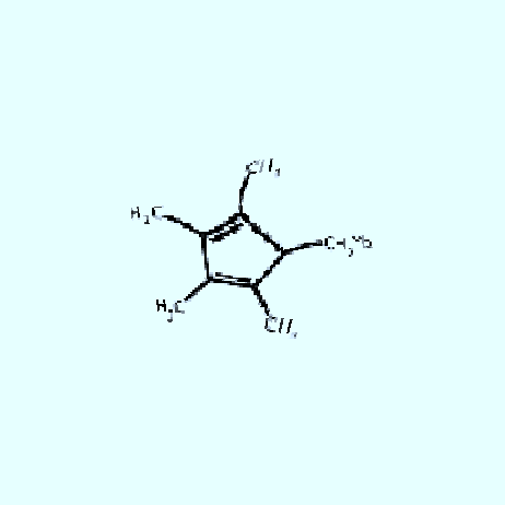 C[C]1C(C)=C(C)C(C)=C1C.[Yb]